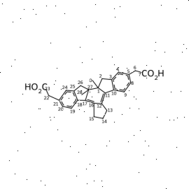 CC12Cc3cc(CC(=O)O)ccc3C1=C1CCCC1=C1c3ccc(CC(=O)O)cc3CC12C